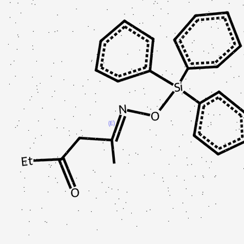 CCC(=O)C/C(C)=N/O[Si](c1ccccc1)(c1ccccc1)c1ccccc1